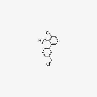 Cc1c(Cl)cccc1-c1cccc(CCl)c1